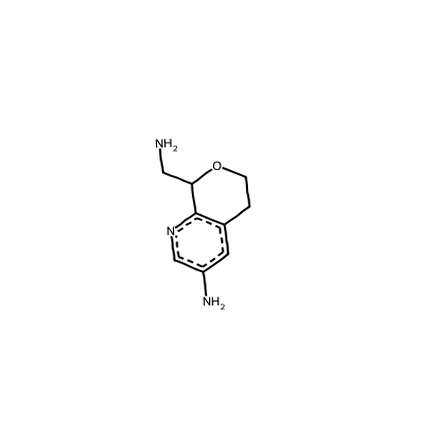 NCC1OCCc2cc(N)cnc21